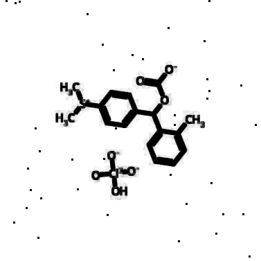 Cc1ccccc1C(OC(=O)[O-])c1ccc([S+](C)C)cc1.[O-][Cl+3]([O-])([O-])O